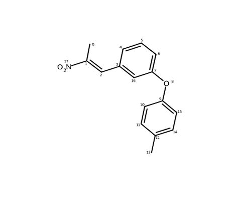 CC(=Cc1cccc(Oc2ccc(C)cc2)c1)[N+](=O)[O-]